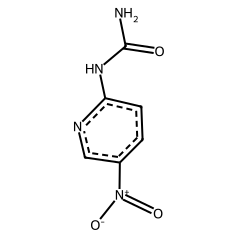 NC(=O)Nc1ccc([N+](=O)[O-])cn1